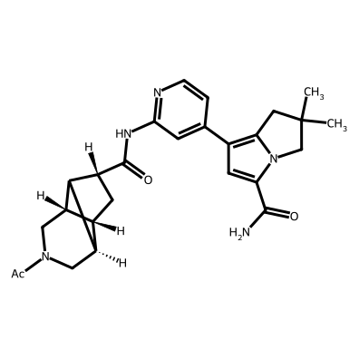 CC(=O)N1C[C@@H]2C3[C@H](C(=O)Nc4cc(-c5cc(C(N)=O)n6c5CC(C)(C)C6)ccn4)C[C@@H]2[C@H]3C1